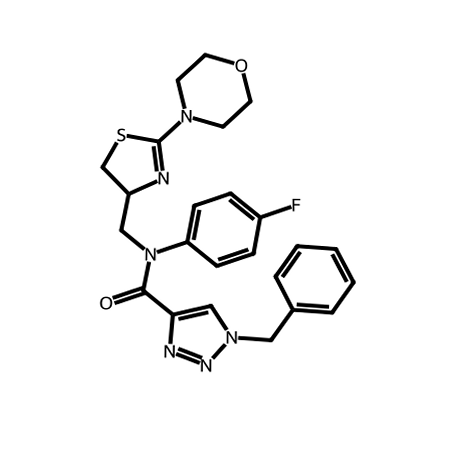 O=C(c1cn(Cc2ccccc2)nn1)N(CC1CSC(N2CCOCC2)=N1)c1ccc(F)cc1